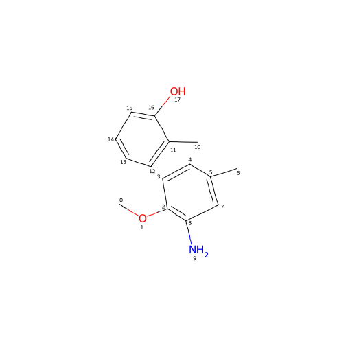 COc1ccc(C)cc1N.Cc1ccccc1O